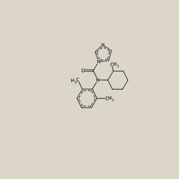 Cc1cccc(C)c1N(C(=O)n1ccnc1)C1CCCCC1C